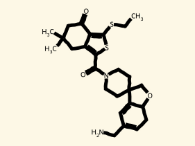 CCSc1sc(C(=O)N2CCC3(CC2)COC2CC=C(CN)C=C23)c2c1C(=O)CC(C)(C)C2